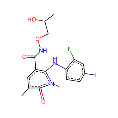 Cc1cc(C(=O)NOCC(C)O)c(Nc2ccc(I)cc2F)n(C)c1=O